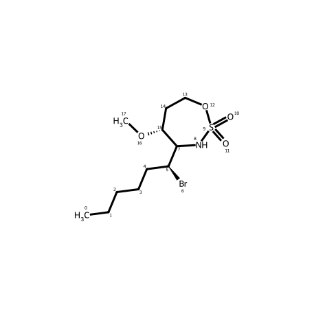 CCCCC[C@H](Br)C1NS(=O)(=O)OCC[C@H]1OC